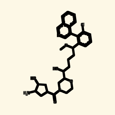 COC(CCCC(O)C1CN(C(=O)C2CC(N)C(O)C2)CCO1)c1cccc(Cl)c1-c1cncc2ccccc12